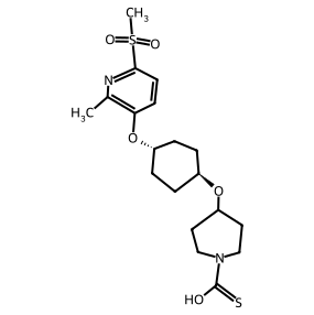 Cc1nc(S(C)(=O)=O)ccc1O[C@H]1CC[C@H](OC2CCN(C(O)=S)CC2)CC1